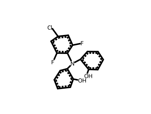 Oc1ccccc1N(c1ccccc1O)c1c(F)cc(Cl)cc1F